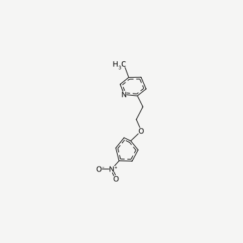 Cc1ccc(CCOc2ccc([N+](=O)[O-])cc2)nc1